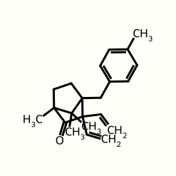 C=CC1(C=C)C(=O)C2(C)CCC1(Cc1ccc(C)cc1)C2(C)C